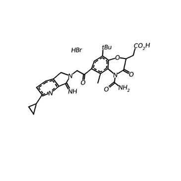 Br.Cc1c(C(=O)CN2Cc3ccc(C4CC4)nc3C2=N)cc(C(C)(C)C)c2c1N(C(N)=O)C(=O)C(CC(=O)O)O2